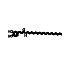 CCCCCCCCCCCCCCCCCCNC(=O)CCc1ccc(O)c(O)c1